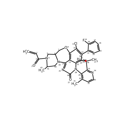 C=CC(=O)N1CC2COc3c(Cl)c(-c4ccccc4F)c(F)c4c3c(nc(=O)n4-c3c(C)ccnc3C(C)C)N2CC1C